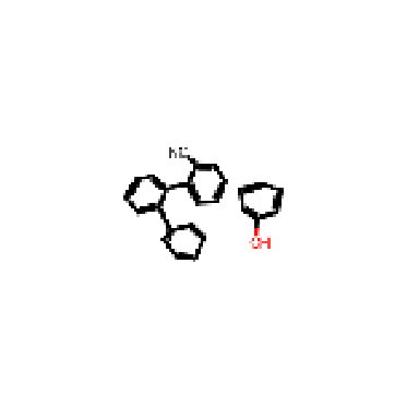 N#Cc1ccccc1-c1ccccc1-c1ccccc1.Oc1ccccc1